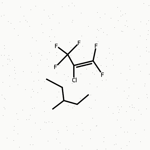 CCC(C)CC.FC(F)=C(Cl)C(F)(F)F